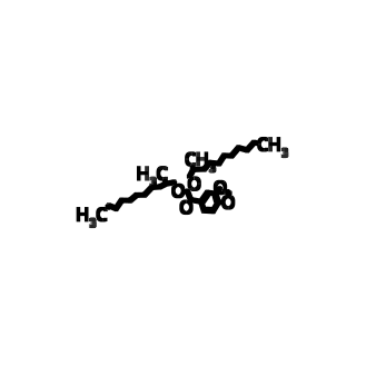 CCCCCCCCCC(C)COC(OCC(C)CCCCCCCCC)C(=O)c1ccc2c(c1)OCO2